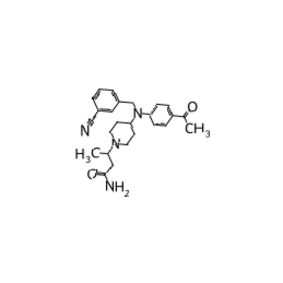 CC(=O)c1ccc(N(Cc2cccc(C#N)c2)C2CCN(C(C)CC(N)=O)CC2)cc1